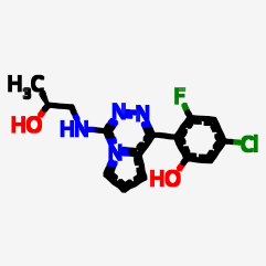 C[C@H](O)CNc1nnc(-c2c(O)cc(Cl)cc2F)c2cccn12